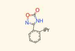 CC(C)c1ccccc1-c1noc(=O)[nH]1